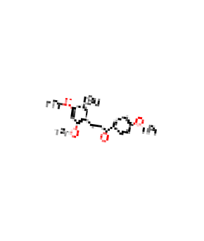 CCCOc1ccc(C(=O)C=Cc2cc(C(C)(C)C)c(OCCC)cc2OCCC)cc1